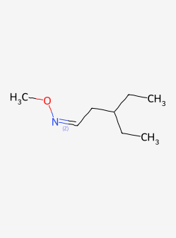 CCC(CC)C/C=N\OC